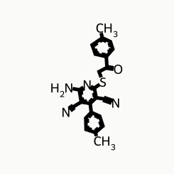 Cc1ccc(C(=O)CSc2nc(N)c(C#N)c(-c3ccc(C)cc3)c2C#N)cc1